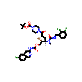 CN(C(=O)NCc1cccc(F)c1Cl)[C@](C)(CCC(=O)N1CCN(C(=O)OC(C)(C)C)CC1)C(S)COC(=O)Nc1cc2cc(F)ccc2cn1